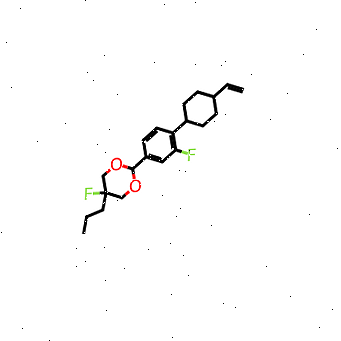 C=CC1CCC(c2ccc(C3OCC(F)(CCC)CO3)cc2F)CC1